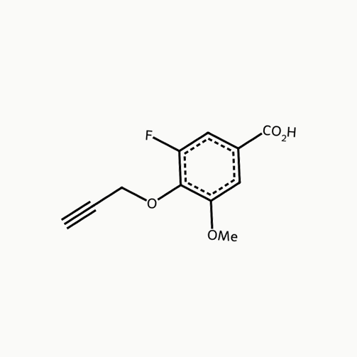 C#CCOc1c(F)cc(C(=O)O)cc1OC